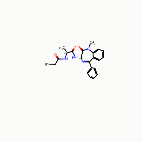 CC(C)CC(=O)N[C@@H](C)C(=O)N[C@H]1N=C(c2ccccc2)c2ccccc2N(C)C1=O